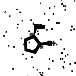 [CH2]N[C@H]1CCC[C@@H]1O